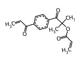 C=CC(=O)OC(C)(C)C(=O)c1ccc(C(=O)C=C)cc1